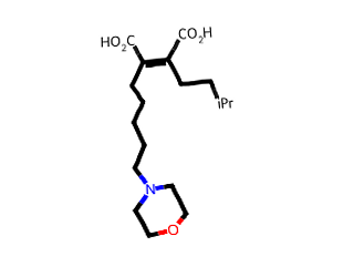 CC(C)CCC(C(=O)O)=C(CCCCCN1CCOCC1)C(=O)O